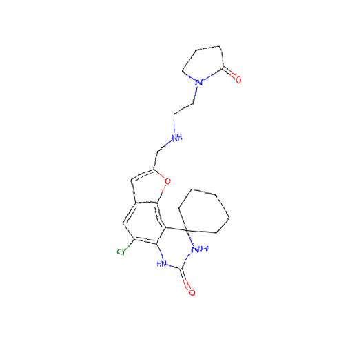 O=C1Nc2c(Cl)cc3cc(CNCCN4CCCC4=O)oc3c2C2(CCCCC2)N1